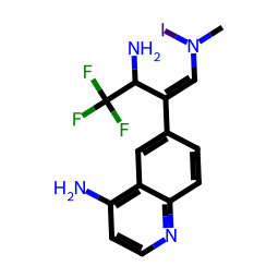 CN(I)/C=C(/c1ccc2nccc(N)c2c1)C(N)C(F)(F)F